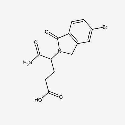 NC(=O)C(CCC(=O)O)N1Cc2cc(Br)ccc2C1=O